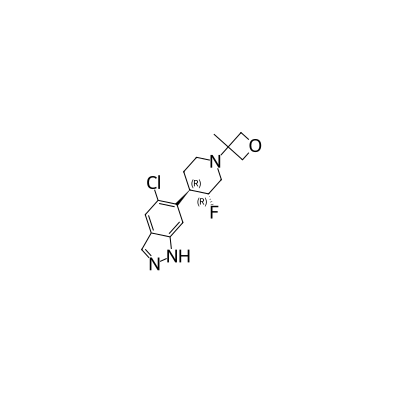 CC1(N2CC[C@H](c3cc4[nH]ncc4cc3Cl)[C@@H](F)C2)COC1